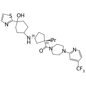 CC(C)[C@]1(C(=O)N2CCN(c3cc(C(F)(F)F)ccn3)CC2)CC[C@@H](NC2CCC(O)(c3nccs3)CC2)C1